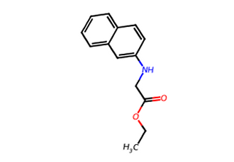 CCOC(=O)CNc1ccc2ccccc2c1